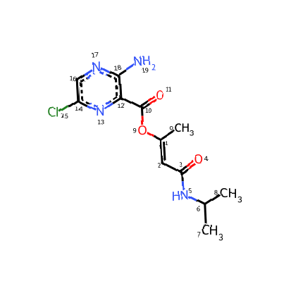 C/C(=C\C(=O)NC(C)C)OC(=O)c1nc(Cl)cnc1N